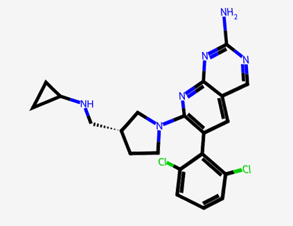 Nc1ncc2cc(-c3c(Cl)cccc3Cl)c(N3CC[C@H](CNC4CC4)C3)nc2n1